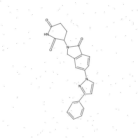 O=C1CCC(N2Cc3cc(-n4ccc(-c5ccccc5)n4)ccc3C2=O)C(=O)N1